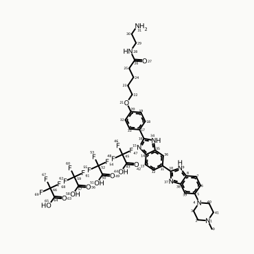 CN1CCN(c2ccc3[nH]c(-c4ccc5nc(-c6ccc(OCCCCC(=O)NCCN)cc6)[nH]c5c4)nc3c2)CC1.O=C(O)C(F)(F)F.O=C(O)C(F)(F)F.O=C(O)C(F)(F)F.O=C(O)C(F)(F)F